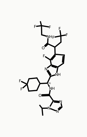 CC(C)n1ncnc1C(=O)N[C@H](c1nc2c(F)c(C(CC(F)(F)F)C(=O)NCC(C)(F)F)ccc2[nH]1)C1CCC(F)(F)CC1